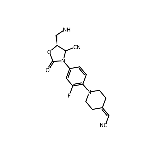 N#CC=C1CCN(c2ccc(N3C(=O)O[C@@H](C[NH])C3C#N)cc2F)CC1